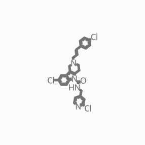 O=C(NCc1ccnc(Cl)c1)n1c2c(c3cc(Cl)ccc31)CN(C/C=C/c1ccc(Cl)cc1)CC2